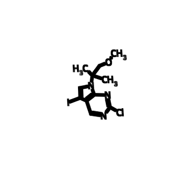 COCC(C)(C)n1cc(I)c2cnc(Cl)nc21